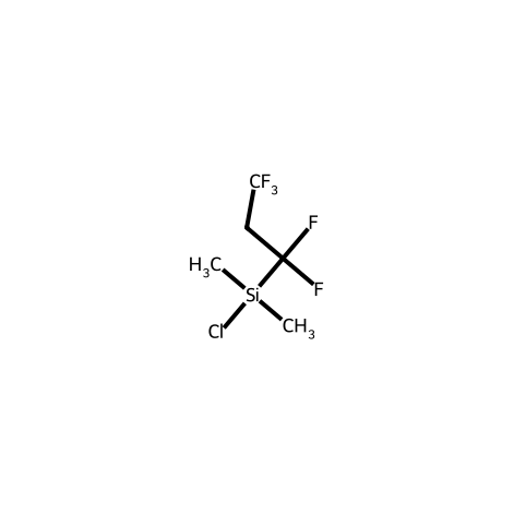 C[Si](C)(Cl)C(F)(F)CC(F)(F)F